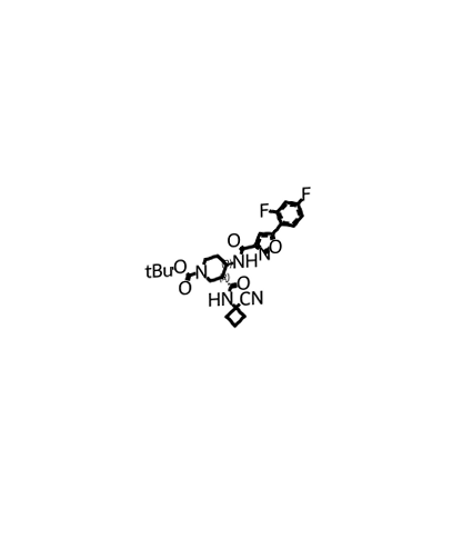 CC(C)(C)OC(=O)N1CC[C@@H](NC(=O)c2cc(-c3ccc(F)cc3F)on2)[C@H](C(=O)NC2(C#N)CCC2)C1